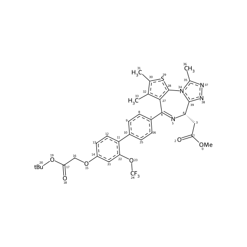 COC(=O)C[C@@H]1N=C(c2ccc(-c3ccc(OCC(=O)OC(C)(C)C)cc3OC(F)(F)F)cc2)c2c(sc(C)c2C)-n2c(C)nnc21